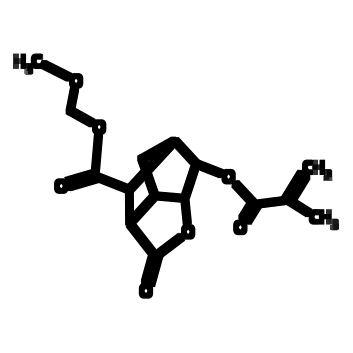 C=C(C)C(=O)OC1C2CC3C1OC(=O)C3C2C(=O)OCOC